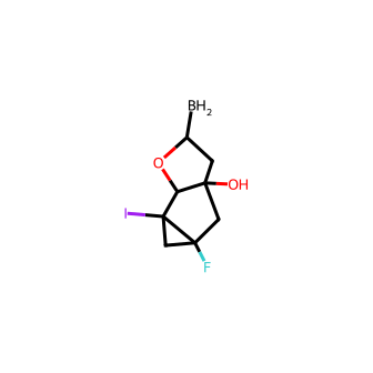 BC1CC2(O)CC3(F)CC3(I)C2O1